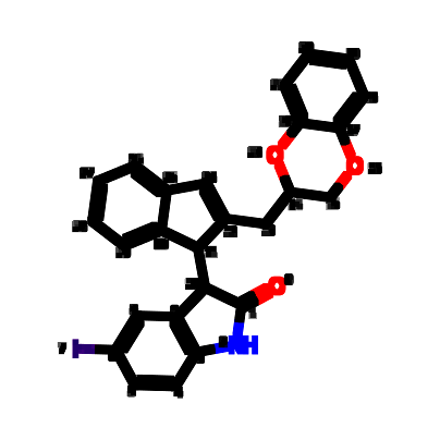 O=C1Nc2ccc(I)cc2C1C1C(CC2COc3ccccc3O2)=Cc2ccccc21